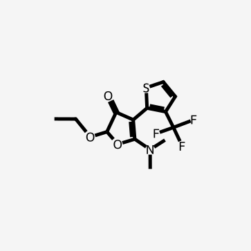 CCOC1OC(N(C)C)=C(c2sccc2C(F)(F)F)C1=O